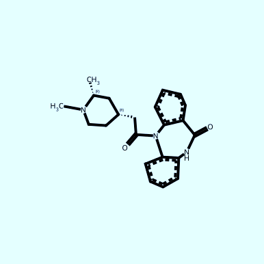 C[C@@H]1C[C@H](CC(=O)N2c3ccccc3NC(=O)c3ccccc32)CCN1C